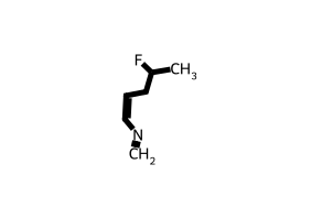 C=N/C=C\CC(C)F